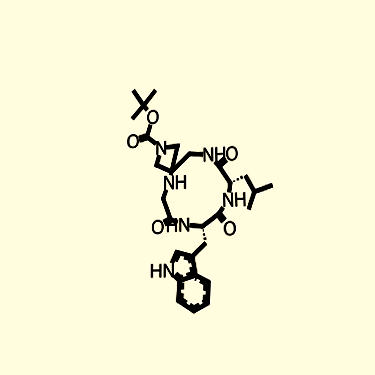 CC(C)C[C@@H]1NC(=O)[C@H](Cc2c[nH]c3ccccc23)NC(=O)CNC2(CNC1=O)CN(C(=O)OC(C)(C)C)C2